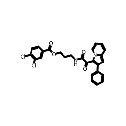 O=C(NCCCOC(=O)c1ccc(Cl)c(Cl)c1)C(=O)c1c(-c2ccccc2)cc2ccccn12